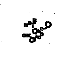 CCOC(C)OCC.O=C[C@@H]1CCCN1C(=O)[C@@H]1CCCN1C(=O)OCc1ccccc1